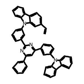 C=Cc1ccc2c3ccccc3n(-c3cccc(-c4nc(-c5ccccc5)cc(-c5cccc(-n6c7ccccc7c7ccccc76)c5)n4)c3)c2c1